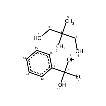 CC(C)(CO)CO.CCC(O)(O)c1ccccc1